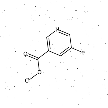 O=C(OCl)c1cncc(F)c1